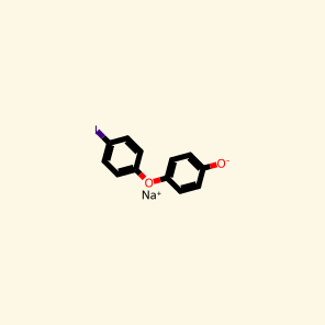 [Na+].[O-]c1ccc(Oc2ccc(I)cc2)cc1